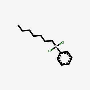 CCCCCCC[Si](Cl)(Cl)c1ccccc1